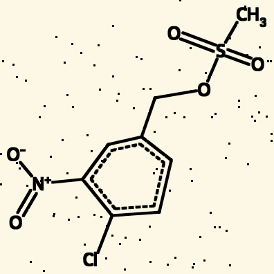 CS(=O)(=O)OCc1ccc(Cl)c([N+](=O)[O-])c1